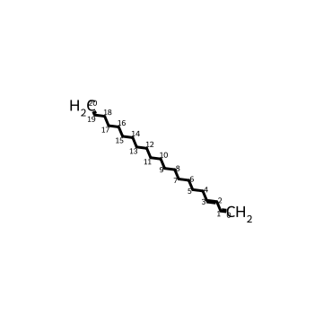 C=CC=CCCCCCCCCCCCCCCCC=C